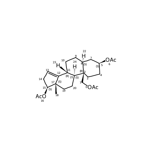 CC(=O)OC[C@]12CC[C@H](OC(C)=O)C[C@@H]1CC[C@H]1C3=CC[C@H](OC(C)=O)[C@@]3(C)CC[C@@H]12